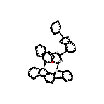 c1ccc(-c2nc3cccc(-c4nc(-c5ccccn5)nc(-n5c6ccccc6c6ccc7c8ccccc8n(-c8ccccc8)c7c65)n4)c3o2)cc1